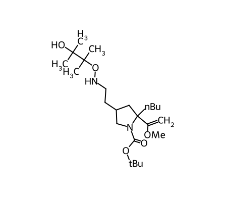 C=C(OC)C1(CCCC)CC(CCNOC(C)(C)C(C)(C)O)CN1C(=O)OC(C)(C)C